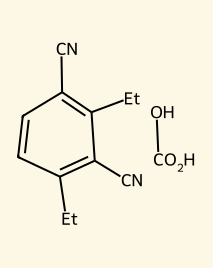 CCc1ccc(C#N)c(CC)c1C#N.O=C(O)O